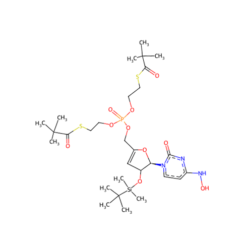 CC(C)(C)C(=O)SCCOP(=O)(OCCSC(=O)C(C)(C)C)OCC1=CC(O[Si](C)(C)C(C)(C)C)[C@H](n2ccc(NO)nc2=O)O1